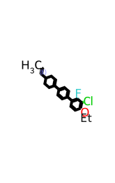 C/C=C/C1CC=C(c2ccc(-c3ccc(OCC)c(Cl)c3F)cc2)CC1